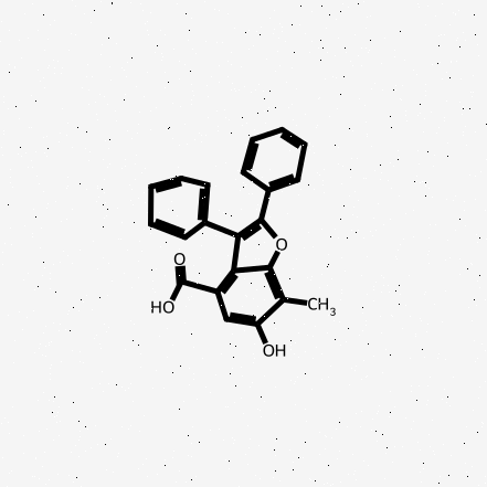 Cc1c(O)cc(C(=O)O)c2c(-c3ccccc3)c(-c3ccccc3)oc12